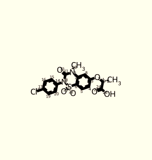 C[C@@H](Oc1ccc2c(c1)N(C)C(=O)N(c1ccc(Cl)cc1)S2(=O)=O)C(=O)O